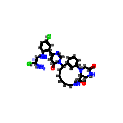 N/C(Cl)=C\Nc1ccc(Cl)cc1-c1cc(=O)n(C2CCCCCNC(=O)C3CNC(=O)CN3c3cccc2c3)cn1